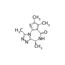 Cc1sc2c(c1C)C(=O)N[C@@H](C)c1nnc(C)n1-2